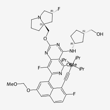 COCOc1cc(-c2nc(OC)c3c(N[C@@H]4CC[C@H](CO)C4)nc(OC[C@@]45CCCN4C[C@H](F)C5)nc3c2F)c2c(C#C[Si](C(C)C)(C(C)C)C(C)C)c(F)ccc2c1